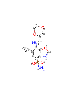 NS(=O)(=O)c1cc([N+](=O)[O-])c(NC[C@H]2COCCO2)c2ocnc12